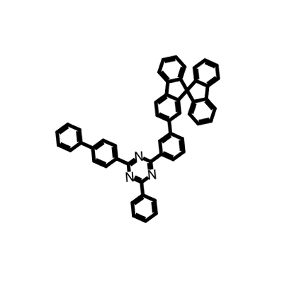 c1ccc(-c2ccc(-c3nc(-c4ccccc4)nc(-c4cccc(-c5ccc6c(c5)C5(c7ccccc7-c7ccccc75)c5ccccc5-6)c4)n3)cc2)cc1